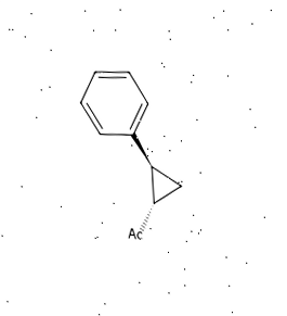 CC(=O)[C@H]1C[C@@H]1c1ccccc1